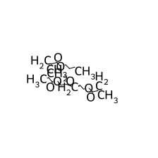 C=C(C)C(=O)OCC1CO1.C=C(C)C(=O)OCCCC.C=CCOC(=O)C(=C)C